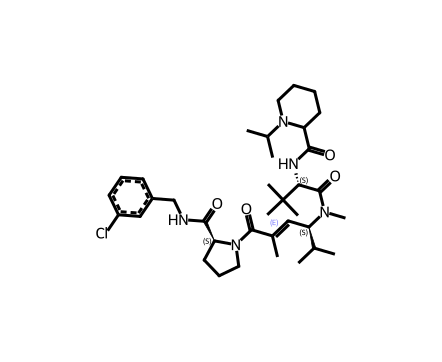 C/C(=C\[C@H](C(C)C)N(C)C(=O)[C@@H](NC(=O)C1CCCCN1C(C)C)C(C)(C)C)C(=O)N1CCC[C@H]1C(=O)NCc1cccc(Cl)c1